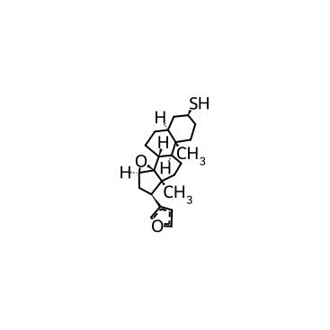 C[C@]12CC[C@H](S)C[C@@H]1CC[C@@H]1[C@@H]2CC[C@]2(C)[C@@H](c3ccoc3)C[C@H]3O[C@]132